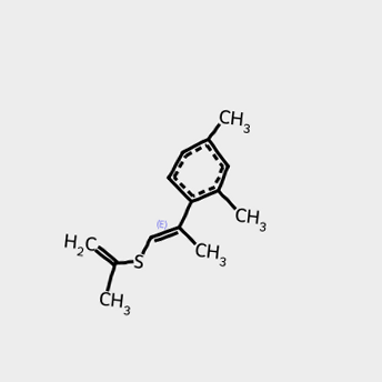 C=C(C)S/C=C(\C)c1ccc(C)cc1C